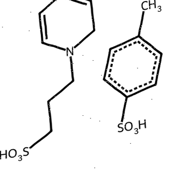 Cc1ccc(S(=O)(=O)O)cc1.O=S(=O)(O)CCCN1C=CC=CC1